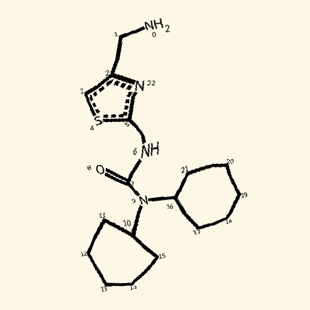 NCc1csc(NC(=O)N(C2CCCCC2)C2CCCCC2)n1